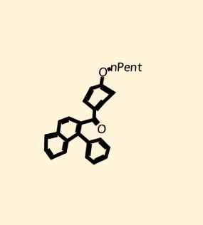 CCCCCOc1ccc(C(=O)c2ccc3ccccc3c2-c2ccccc2)cc1